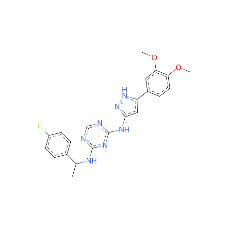 COc1ccc(-c2cc(Nc3ncnc(NC(C)c4ccc(F)cc4)n3)n[nH]2)cc1OC